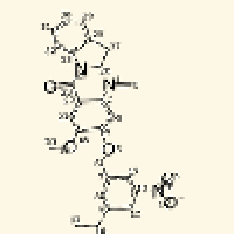 C=Nc1cc(OCc2cc(CC)cc([N+](=O)[O-])c2)c(OC)cc1C(=O)N1CCc2ccccc21